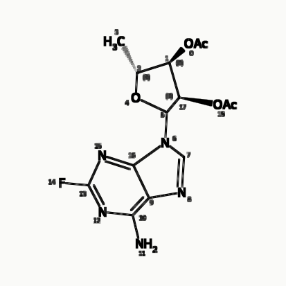 CC(=O)O[C@@H]1[C@@H](C)OC(n2cnc3c(N)nc(F)nc32)[C@@H]1OC(C)=O